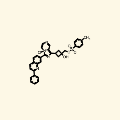 Cc1ccc(S(=O)(=O)OCC2(O)CC(C3=C4C=NC=C[N+]4(Cl)C(c4ccc5ccc(-c6ccccc6)nc5c4)=N3)C2)cc1